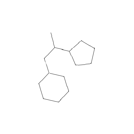 CC(CC1CCCCC1)C1CCCC1